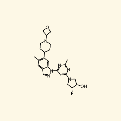 Cc1nc(N2C[C@@H](O)[C@H](F)C2)cc(-n2ncc3cc(C)c(C4CCN(C5COC5)CC4)cc32)n1